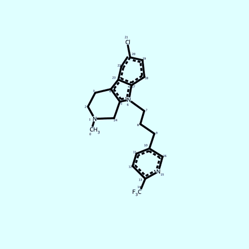 CN1CCc2c(n(CCCc3ccc(C(F)(F)F)nc3)c3ccc(Cl)cc23)C1